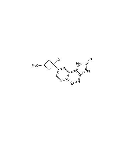 COC1CC(Br)(c2ccc3nnc4[nH]c(=O)[nH]c4c3c2)C1